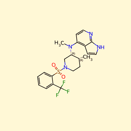 C[C@@H]1CCN(S(=O)(=O)c2ccccc2C(F)(F)F)C[C@@H]1N(C)c1ccnc2[nH]ccc12